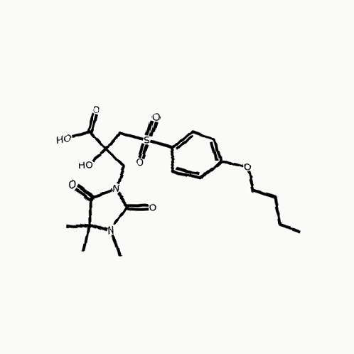 CCCCOc1ccc(S(=O)(=O)CC(O)(CN2C(=O)N(C)C(C)(C)C2=O)C(=O)O)cc1